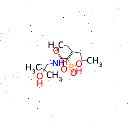 CCCC(CC)=C(C(=O)NCC(C)(C)O)P(=O)(O)O